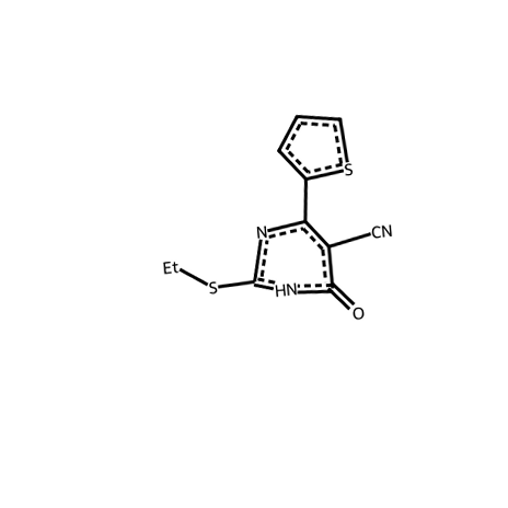 CCSc1nc(-c2cccs2)c(C#N)c(=O)[nH]1